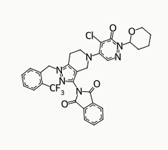 O=C1c2ccccc2C(=O)N1c1nn(Cc2ccccc2C(F)(F)F)c2c1CN(c1cnn(C3CCCCO3)c(=O)c1Cl)CC2